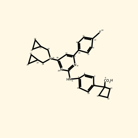 O=C(O)C1(c2ccc(Nc3nc(-c4ccc(F)cc4)cc(N(CC4CC4)CC4CC4)n3)cc2)CCC1